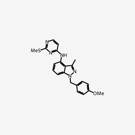 COc1ccc(Cn2nc(C)c3c(Nc4ccnc(SC)n4)cccc32)cc1